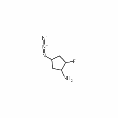 [N-]=[N+]=NC1CC(N)C(F)C1